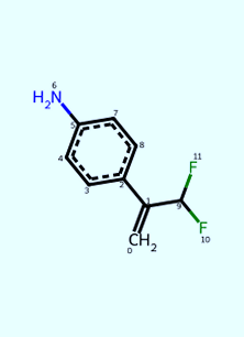 C=C(c1ccc(N)cc1)C(F)F